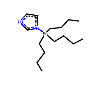 CCC[CH2][Sn]([CH2]CCC)([CH2]CCC)[n]1ccnc1